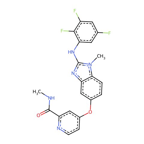 CNC(=O)c1cc(Oc2ccc3c(c2)nc(Nc2cc(F)cc(F)c2F)n3C)ccn1